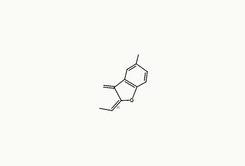 C=c1/c(=C\C)oc2ccc(C)cc12